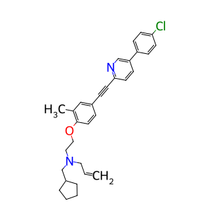 C=CCN(CCOc1ccc(C#Cc2ccc(-c3ccc(Cl)cc3)cn2)cc1C)CC1CCCC1